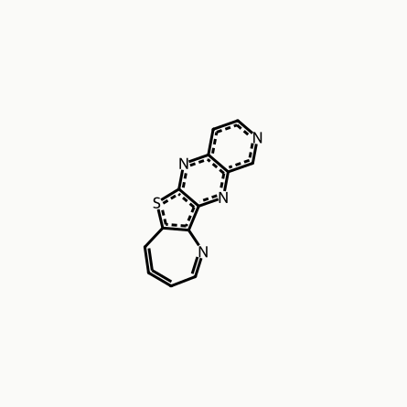 C1=CC=Nc2c(sc3nc4ccncc4nc23)C=1